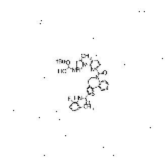 Cc1cccc(F)c1NC(=O)c1cc2c(s1)-c1ccccc1N(C(=O)c1cccc(N3C[C@@H](NC(O)OC(C)(C)C)C[C@@H]3C)n1)CC2